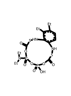 CCc1ccc2c(c1CC)NSC(=O)OP(=O)(N(CC)CC)OP(=O)(O)OC(=O)SN2